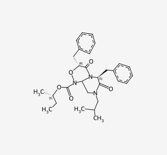 CC[C@H](C)OC(=O)N1O[C@H](Cc2ccccc2)C(=O)N2C1CN(CC(C)C)C(=O)[C@@H]2Cc1ccccc1